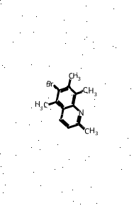 Cc1ccc2c(C)c(Br)c(C)c(C)c2n1